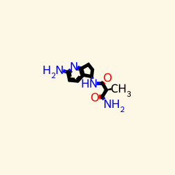 C[C@@H](C(N)=O)C(=O)NC1CCc2nc(N)ccc21